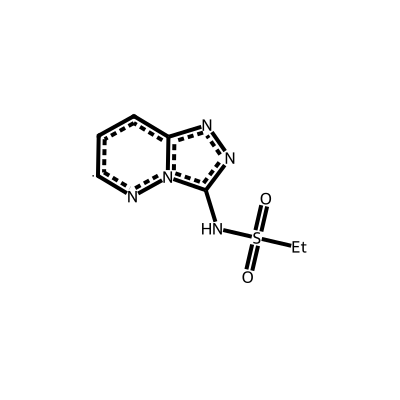 CCS(=O)(=O)Nc1nnc2cc[c]nn12